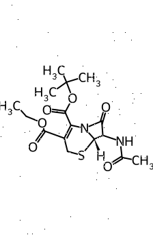 CCOC(=O)C1=C(C(=O)OC(C)(C)C)N2C(=O)C(NC(C)=O)[C@@H]2SC1